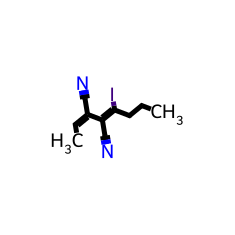 C/C=C(C#N)\C(C#N)=C(/I)CCC